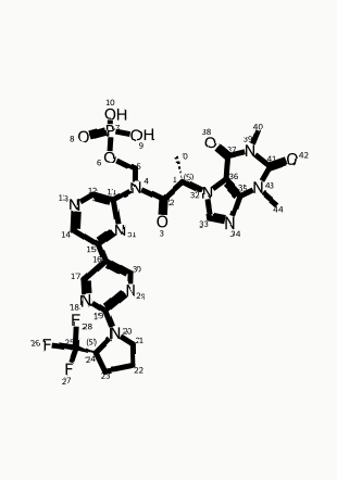 C[C@@H](C(=O)N(COP(=O)(O)O)c1cncc(-c2cnc(N3CCC[C@H]3C(F)(F)F)nc2)n1)n1cnc2c1c(=O)n(C)c(=O)n2C